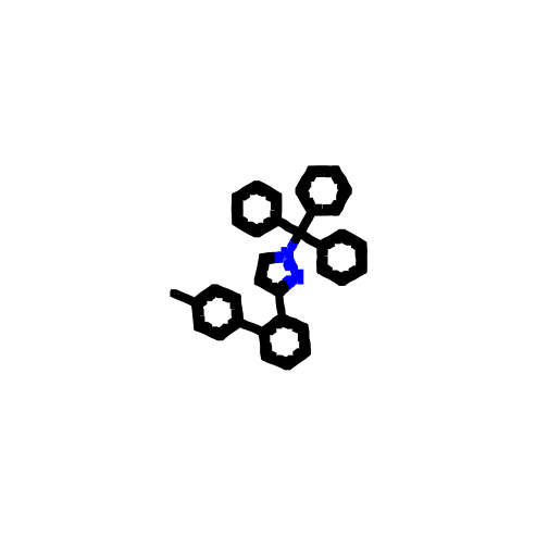 Cc1ccc(-c2ccccc2-c2ccn(C(c3ccccc3)(c3ccccc3)c3ccccc3)n2)cc1